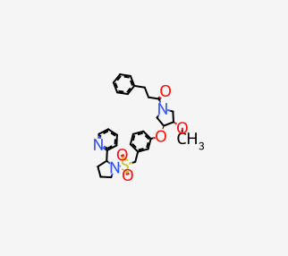 CO[C@@H]1CN(C(=O)CCc2ccccc2)C[C@H]1Oc1cccc(CS(=O)(=O)N2CCCC2c2ccccn2)c1